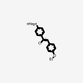 CCCCCCCc1ccc(/C(Cl)=C/c2ccc(OCC)cc2)cc1